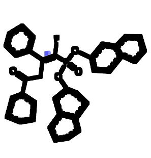 O=C(C/C(=C(/F)P(=O)(Oc1ccc2ccccc2c1)Oc1ccc2ccccc2c1)c1ccccc1)c1ccccc1